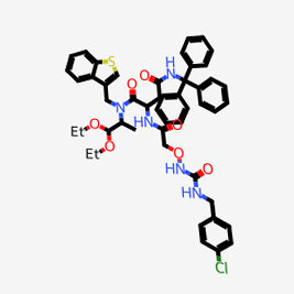 CCOC(OCC)C(C)N(Cc1csc2ccccc12)C(=O)C(CC(=O)NC(c1ccccc1)(c1ccccc1)c1ccccc1)NC(=O)CONC(=O)NCc1ccc(Cl)cc1